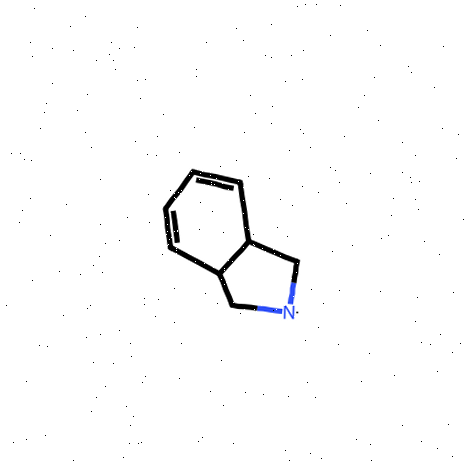 C1=CC2C[N]CC2C=C1